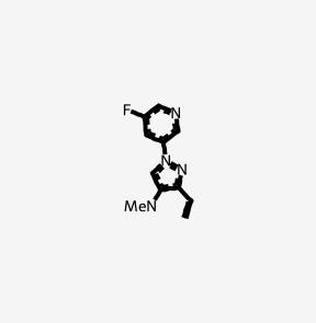 C=Cc1nn(-c2cncc(F)c2)cc1NC